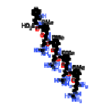 COc1ccc(CC(=O)[C@H](CCCNC(=N)N)NC(=O)c2cc(CC(=O)[C@H](CCCNC(=N)N)NC(=O)c3cc(CC(=O)[C@H](CCCNC(=N)N)NC(=O)c4cc(CC(=O)[C@@H](N)CCCNC(=N)N)ccc4OC)ccc3OC)ccc2OC)cc1C(=O)N[C@@H](Cc1c[nH]c2ccccc12)C(=O)O